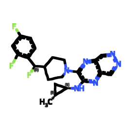 C[C@@H]1C[C@H]1Nc1nc2cnncc2nc1N1CCC([C@@H](F)c2ccc(F)cc2F)CC1